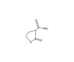 NC(=O)C1CCOC1=O